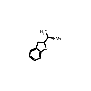 CNC(C)C1Cc2ccccc2O1